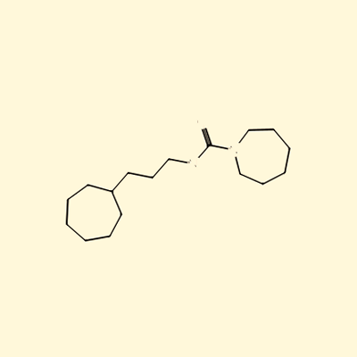 O=C([N]CCCC1CCCCCC1)N1CCCCCC1